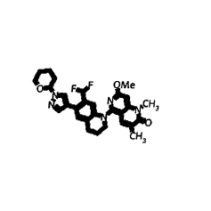 COc1cc2c(cc(C)c(=O)n2C)c(N2CCCc3cc(-c4cnn(C5CCCCO5)c4)c(C(F)F)cc32)n1